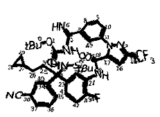 CC(C)(C)OC(=O)NC(=N)c1cccc(-n2nc(C(F)(F)F)cc2C(=O)Nc2cc(C(CCC3CC3)(N[S+]([O-])C(C)(C)C)c3cccc(C#N)c3)ccc2F)c1